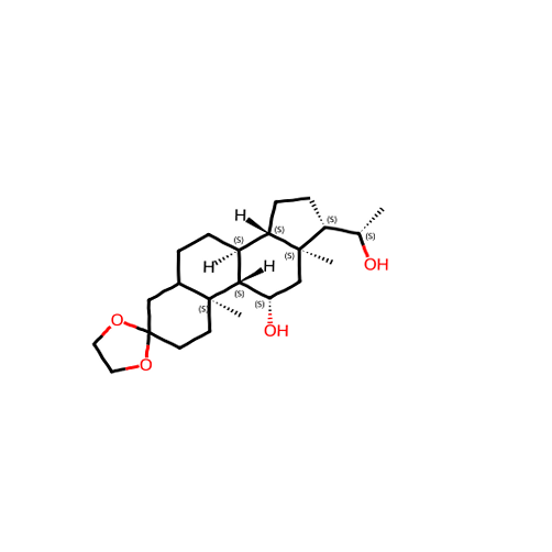 C[C@H](O)[C@H]1CC[C@H]2[C@@H]3CCC4CC5(CC[C@]4(C)[C@H]3[C@@H](O)C[C@]12C)OCCO5